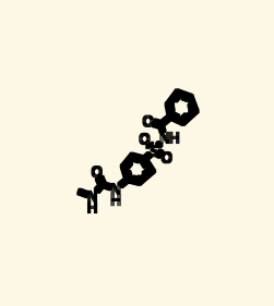 CNC(=O)Nc1ccc(S(=O)(=O)NC(=O)c2ccccc2)cc1